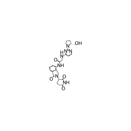 O=C1CCC(N2Cc3c(NC(=O)CNc4ccnc(N5CCC[C@@H]5CO)n4)cccc3C2=O)C(=O)N1